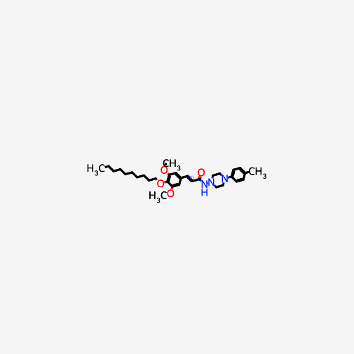 CCCCCCCCCCOc1c(OC)cc(/C=C/C(=O)NN2CCN(c3ccc(C)cc3)CC2)cc1OC